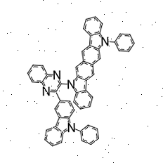 c1ccc(-n2c3ccccc3c3cc(-c4nc5ccccc5nc4-n4c5ccccc5c5cc6cc7c(cc6cc54)c4ccccc4n7-c4ccccc4)ccc32)cc1